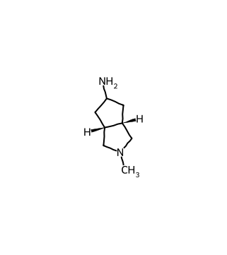 CN1C[C@H]2CC(N)C[C@H]2C1